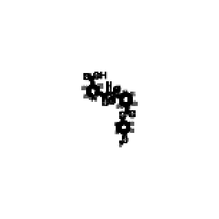 COc1ccc(OC(=O)c2cccc(S(=O)(=O)NC(=O)c3cc(C(=O)O)ccn3)c2)cc1